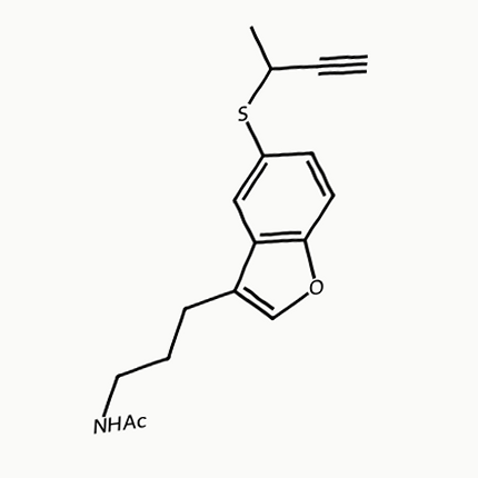 C#CC(C)Sc1ccc2occ(CCCNC(C)=O)c2c1